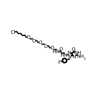 Nc1nc2c(nc(NCCC(=O)NCCOCCOCCOCCOCCOCCCCCCCl)n2Cc2ccc(F)cc2)c(=O)[nH]1